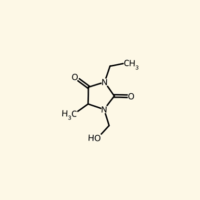 CCN1C(=O)C(C)N(CO)C1=O